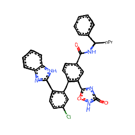 CCCC(NC(=O)c1ccc(-c2cc(Cl)ccc2-c2nc3ccccc3[nH]2)c(-c2nc(=O)[nH]o2)c1)c1ccccc1